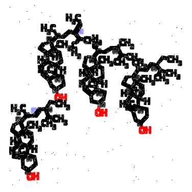 C/C=C(\CC[C@@H](C)[C@H]1CC[C@H]2[C@@H]3CC=C4C[C@@H](O)CC[C@]4(C)[C@H]3CC[C@]12C)C(C)C.CC(C)[C@H](C)CC[C@@H](C)[C@H]1CC[C@H]2[C@@H]3CC=C4C[C@@H](O)CC[C@]4(C)[C@H]3CC[C@]12C.CC[C@H](/C=C/[C@@H](C)[C@H]1CC[C@H]2[C@@H]3CC=C4C[C@@H](O)CC[C@]4(C)[C@H]3CC[C@]12C)C(C)C.CC[C@H](CC[C@@H](C)[C@H]1CC[C@H]2[C@@H]3CC=C4C[C@@H](O)CC[C@]4(C)[C@H]3CC[C@]12C)C(C)C